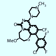 CO[C@@H]1CSc2c(-c3cc(Cl)c(F)cc3F)c(C(F)(F)F)cc3c(N4CCN(C)CC4)nc(=O)n(c23)C1